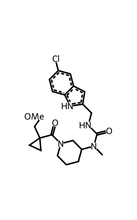 COCC1(C(=O)N2CCCC(N(C)C(=O)NCc3cc4cc(Cl)ccc4[nH]3)C2)CC1